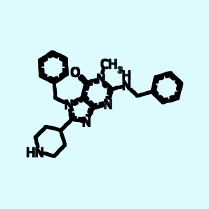 Cn1c(NCc2ccccc2)nc2nc(C3CCNCC3)n(Cc3ccccc3)c2c1=O